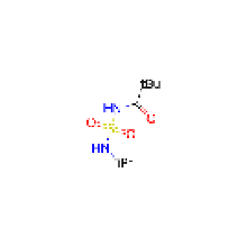 CC(C)NS(=O)(=O)NC(=O)C(C)(C)C